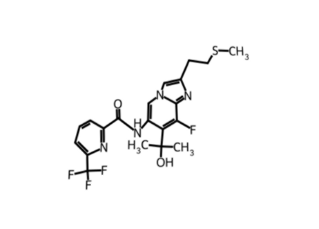 CSCCc1cn2cc(NC(=O)c3cccc(C(F)(F)F)n3)c(C(C)(C)O)c(F)c2n1